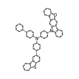 c1ccc(-c2ccc(N(c3ccc(-c4ccc5sc6ccccc6c5c4)cc3)c3ccc(-n4c5ccccc5c5cc6oc7ccccc7c6cc54)cc3)cc2)cc1